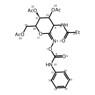 CCC(=O)NC1/C(=N/OC(=O)Nc2ccccc2)OC(COC(C)=O)[C@@H](OC(C)=O)C1OC(C)=O